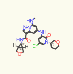 CNc1cc(Nc2cc(Cl)cn([C@H]3CCCOC3)c2=O)cc2c(C(=O)N[C@H]3[C@@H]4COC[C@@H]43)cnn12